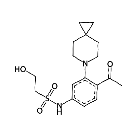 CC(=O)c1ccc(NS(=O)(=O)CCO)cc1N1CCC2(CC1)CC2